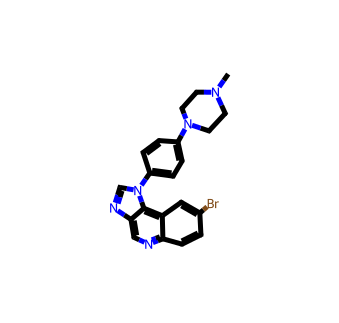 CN1CCN(c2ccc(-n3cnc4cnc5ccc(Br)cc5c43)cc2)CC1